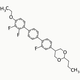 CCCC1OCC(c2ccc(-c3ccc(-c4ccc(OCC)c(F)c4F)cc3)c(F)c2)CO1